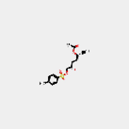 C#C[C@H](CC[C@H](O)COS(=O)(=O)c1ccc(C)cc1)OC(C)=O